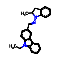 CCn1c2ccccc2c2cc(C=NN3c4ccccc4CC3C)ccc21